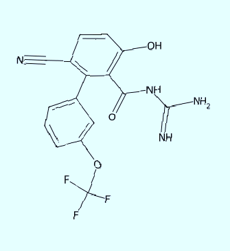 N#Cc1ccc(O)c(C(=O)NC(=N)N)c1-c1cccc(OC(F)(F)F)c1